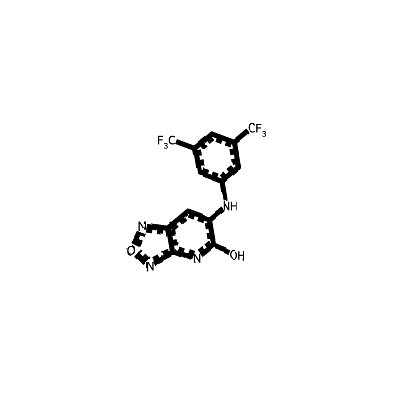 Oc1nc2nonc2cc1Nc1cc(C(F)(F)F)cc(C(F)(F)F)c1